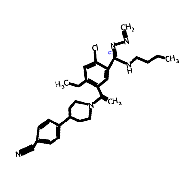 C=N/N=C(\NCCCC)c1cc(C(=C)N2CCC(c3ccc(C#N)cc3)CC2)c(CC)cc1Cl